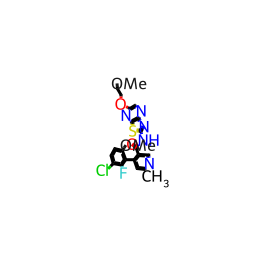 COCCOc1cnc2nc(NC(=O)c3cnc(C)cc3-c3c(OC)ccc(Cl)c3F)sc2n1